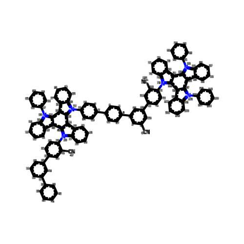 N#Cc1cc(-c2ccc(-c3ccc(-n4c5ccccc5c5c4c4c6ccccc6n(-c6ccc(-c7cccc(-c8ccccc8)c7)cc6C#N)c4c4c6ccccc6n(-c6ccccc6)c54)cc3)cc2)cc(-c2ccc(-n3c4ccccc4c4c5c(c6ccccc6n5-c5ccccc5)c5c(c6ccccc6n5-c5ccccc5)c43)c(C#N)c2)c1